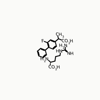 CC(C(=O)O)c1ccc(-c2ccccc2)c(F)c1.N=C(N)NCCC[C@H](N)C(=O)O